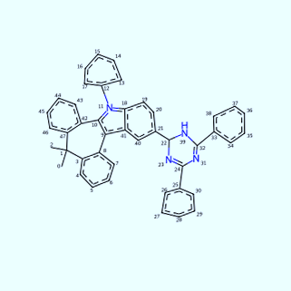 CC1(C)c2ccccc2-c2c(n(-c3ccccc3)c3ccc(C4N=C(c5ccccc5)N=C(c5ccccc5)N4)cc23)-c2ccccc21